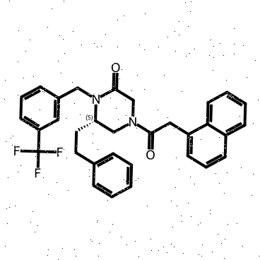 O=C(Cc1cccc2ccccc12)N1CC(=O)N(Cc2cccc(C(F)(F)F)c2)[C@@H](CCc2ccccc2)C1